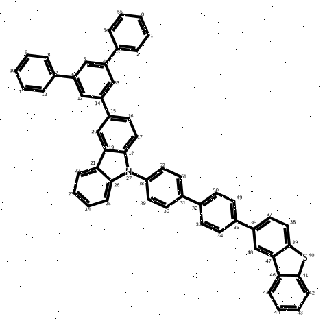 c1ccc(-c2cc(-c3ccccc3)cc(-c3ccc4c(c3)c3ccccc3n4-c3ccc(-c4ccc(-c5ccc6sc7ccccc7c6c5)cc4)cc3)c2)cc1